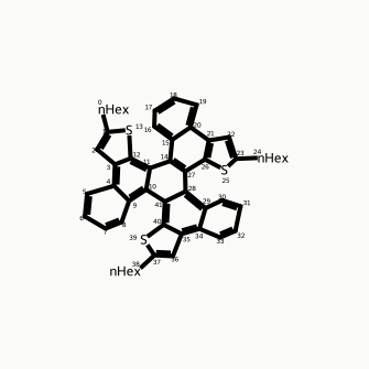 CCCCCCc1cc2c3ccccc3c3c(c2s1)c1c2ccccc2c2cc(CCCCCC)sc2c1c1c2ccccc2c2cc(CCCCCC)sc2c31